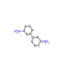 Nc1cc[c]c(-c2cccc(N)c2)c1